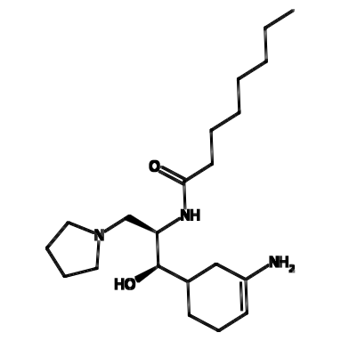 CCCCCCCC(=O)N[C@H](CN1CCCC1)[C@H](O)C1CCC=C(N)C1